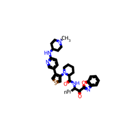 CCCC(NC(=O)C1CCCCN1c1cscc1-c1ccc(NC2CCN(C)CC2)nc1)C(=O)c1nc2ccccc2o1